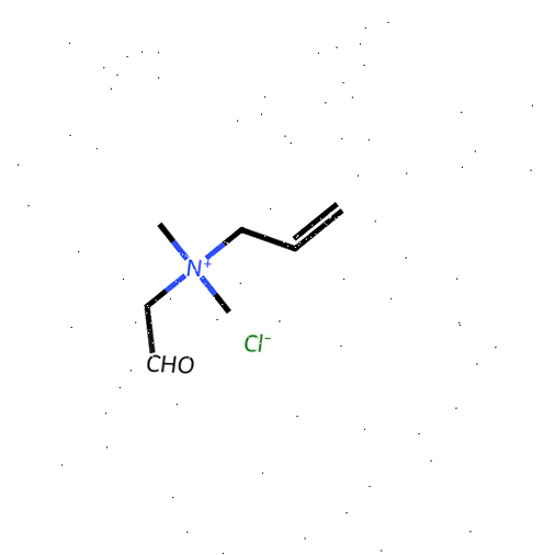 C=CC[N+](C)(C)CC=O.[Cl-]